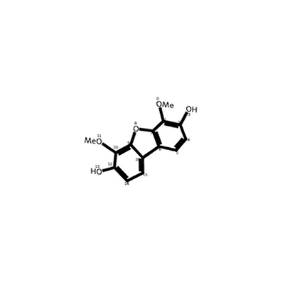 COc1c(O)ccc2c1oc1c(OC)c(O)ccc12